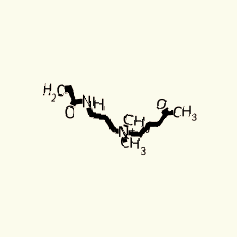 C=CC(=O)NCCC[N+](C)(C)CCCC(C)=O